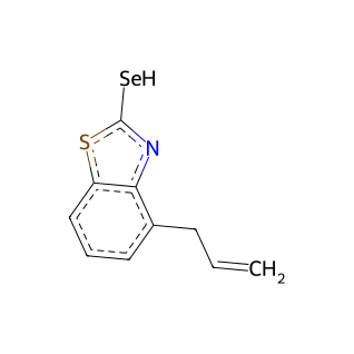 C=CCc1cccc2sc([SeH])nc12